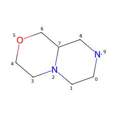 C1CN2CCOCC2C[N]1